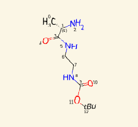 C[C@H](N)C(=O)NCCNC(=O)OC(C)(C)C